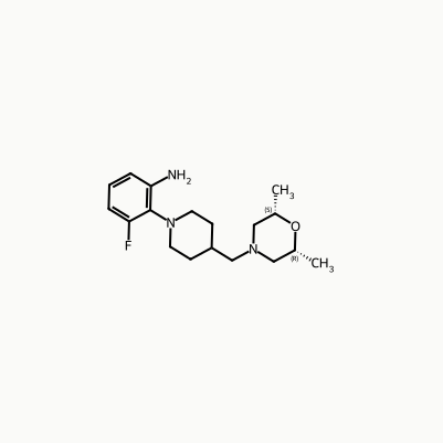 C[C@@H]1CN(CC2CCN(c3c(N)cccc3F)CC2)C[C@H](C)O1